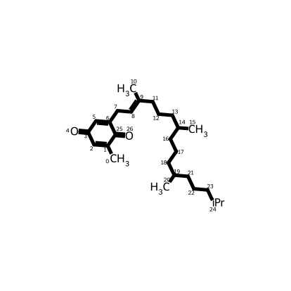 CC1=CC(=O)C=C(C/C=C(\C)CCCC(C)CCCC(C)CCCC(C)C)C1=O